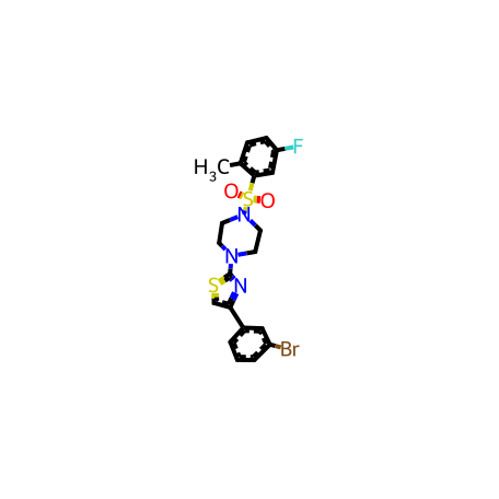 Cc1ccc(F)cc1S(=O)(=O)N1CCN(c2nc(-c3cccc(Br)c3)cs2)CC1